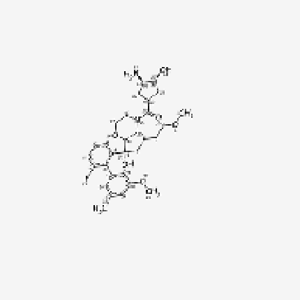 COCCCC[C@@](O)(c1cccc(F)c1-c1cc(C)cc(OC)c1)C1CN(C(=O)[C@H]2C[C@@H](N)[C@@H](O)C2)CCO1